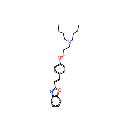 CCCCN(CCCC)CCCOc1ccc(C=Cc2nc3ccccc3o2)cc1